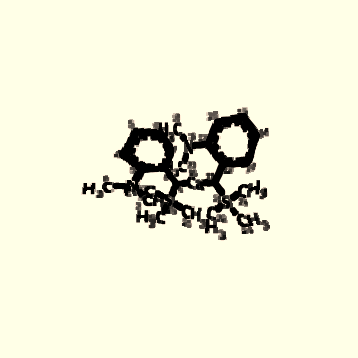 CN(C)c1ccccc1[CH]([Ca][CH](c1ccccc1N(C)C)[Si](C)(C)C)[Si](C)(C)C